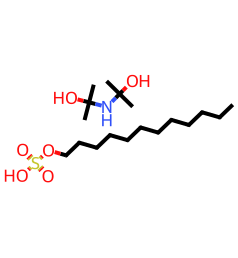 CC(C)(O)NC(C)(C)O.CCCCCCCCCCCCOS(=O)(=O)O